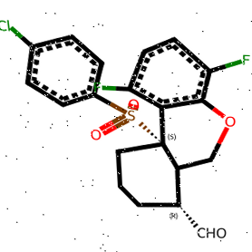 O=C[C@@H]1CCC[C@@]2(S(=O)(=O)c3ccc(Cl)cc3)c3c(F)ccc(F)c3OCC12